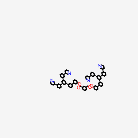 O=C(Oc1cccc(-c2cccc(-c3cc(-c4cccc(-c5cccnc5)c4)cc(-c4cccc(-c5cccnc5)c4)c3)c2)c1)c1cccc(COOc2cccc(-c3cccc(-c4cc(-c5cccc(-c6cccnc6)c5)cc(-c5cccc(-c6cccnc6)c5)c4)c3)c2)c1